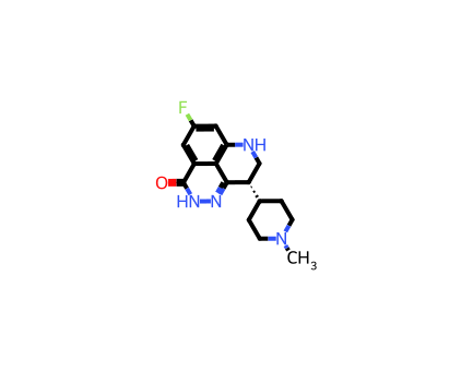 CN1CCC([C@H]2CNc3cc(F)cc4c(=O)[nH]nc2c34)CC1